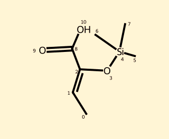 CC=C(O[Si](C)(C)C)C(=O)O